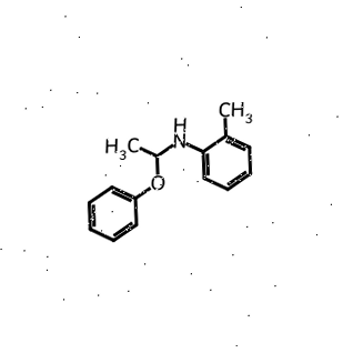 Cc1ccccc1NC(C)Oc1ccccc1